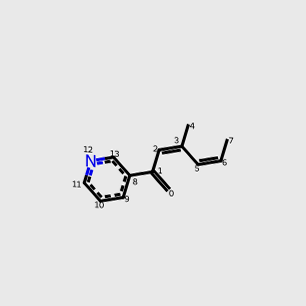 C=C(/C=C(C)\C=C/C)c1cccnc1